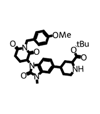 COc1ccc(CN2C(=O)CCC(n3c(=O)n(C)c4cc(C5CCNC(C(=O)OC(C)(C)C)C5)ccc43)C2=O)cc1